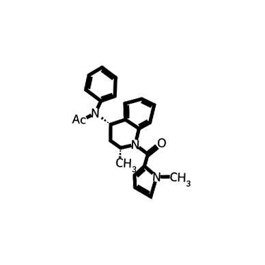 CC(=O)N(c1ccccc1)[C@H]1C[C@@H](C)N(C(=O)c2cccn2C)c2ccccc21